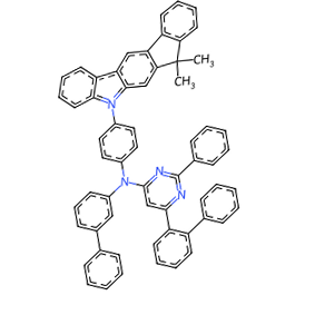 CC1(C)c2ccccc2-c2cc3c4ccccc4n(-c4ccc(N(c5cccc(-c6ccccc6)c5)c5cc(-c6ccccc6-c6ccccc6)nc(-c6ccccc6)n5)cc4)c3cc21